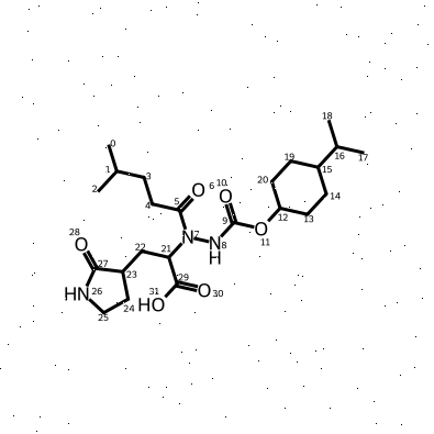 CC(C)CCC(=O)N(NC(=O)OC1CCC(C(C)C)CC1)C(CC1CCNC1=O)C(=O)O